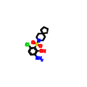 Nc1ccc(Cl)c(S(=O)(=O)N2CCC3(CCCC3)CC2)c1O